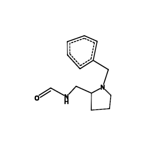 O=CNCC1CCCN1Cc1ccccc1